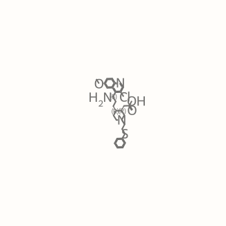 COc1ccc2ncc(Cl)c([C@@H](N)CC[C@@H]3CCN(CCSc4ccccc4)C[C@@H]3CC(=O)O)c2c1